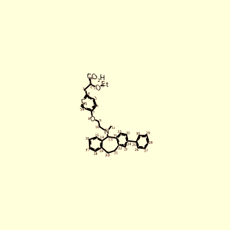 CCOC(Cc1ccc(OCCN(C)C2c3ccccc3CCc3cc(-c4ccccc4)ccc32)cc1)C(=O)O